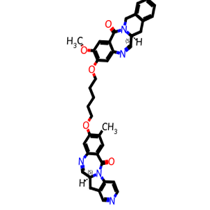 COc1cc2c(cc1OCCCCCOc1cc3c(cc1C)C(=O)N1c4ccncc4C[C@H]1C=N3)N=C[C@@H]1Cc3ccccc3CN1C2=O